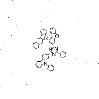 c1ccc(-c2nc(-c3cc(-n4c5ccccc5c5cc6ccccc6cc54)c4c(c3)oc3ccccc34)nc(-c3ccc4c5ccccc5n(-c5ccccc5)c4c3)n2)cc1